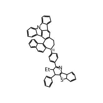 CCC1C(c2ccc([C@@H]3CCc4cc5c6ccccc6n6c7ccccc7c(c4-c4c3ccc3ccccc43)c56)cc2)=NC2=C(SC3C=CC=CC23)C1c1ccccc1